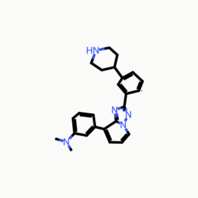 CN(C)c1cccc(-c2cccn3nc(-c4[c]ccc(C5CCNCC5)c4)nc23)c1